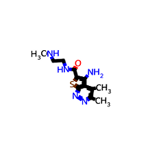 CNCCNC(=O)c1sc2nnc(C)c(C)c2c1N